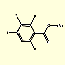 CC(C)(C)OC(=O)c1c(F)cc(F)c(F)c1F